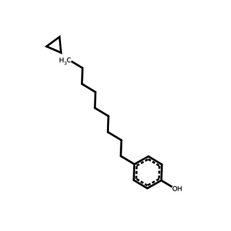 C1CC1.CCCCCCCCCc1ccc(O)cc1